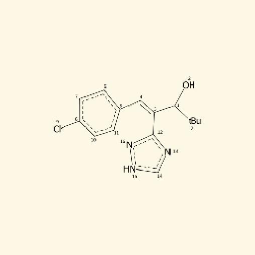 CC(C)(C)C(O)C(=Cc1ccc(Cl)cc1)c1nc[nH]n1